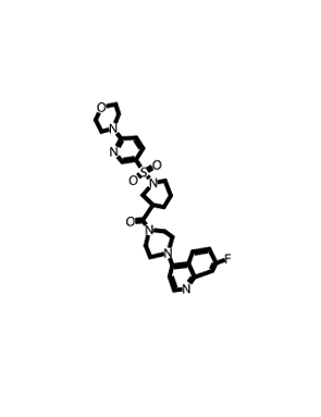 O=C(C1CCCN(S(=O)(=O)c2ccc(N3CCOCC3)nc2)C1)N1CCN(c2ccnc3cc(F)ccc23)CC1